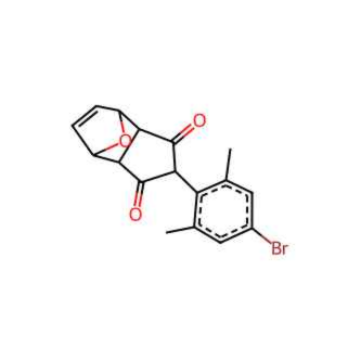 Cc1cc(Br)cc(C)c1C1C(=O)C2C3C=CC(O3)C2C1=O